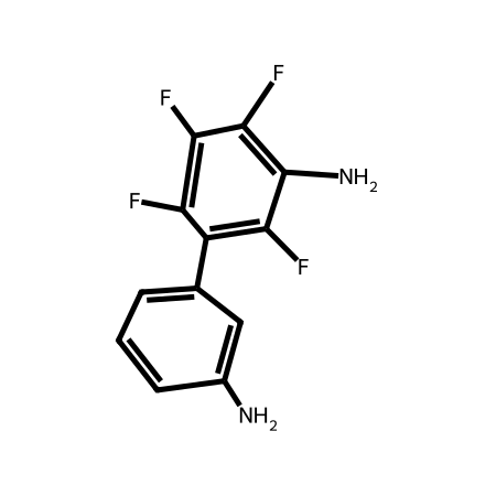 Nc1cccc(-c2c(F)c(N)c(F)c(F)c2F)c1